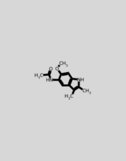 COc1cc2[nH]c(C)c(C)c2cc1NC(C)=O